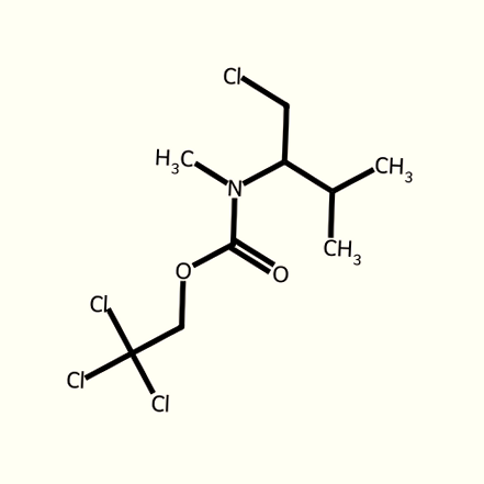 CC(C)C(CCl)N(C)C(=O)OCC(Cl)(Cl)Cl